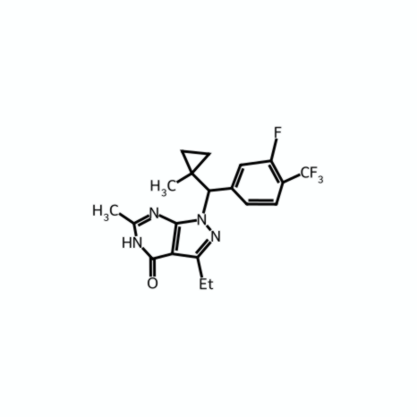 CCc1nn(C(c2ccc(C(F)(F)F)c(F)c2)C2(C)CC2)c2nc(C)[nH]c(=O)c12